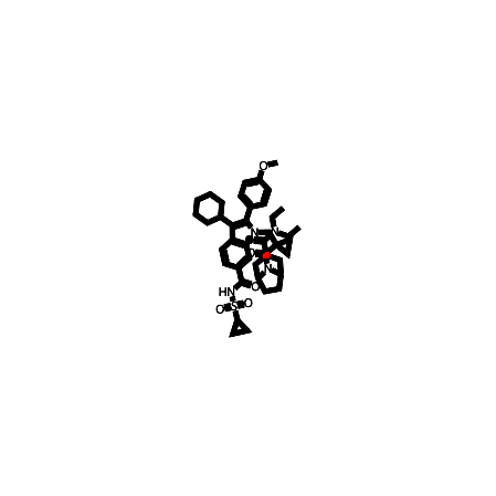 CCN(CC)C(=O)N1CC2CCC(C1)N2C(=O)C1(Cn2c(-c3ccc(OC)cc3)c(C3CCCCC3)c3ccc(C(=O)NS(=O)(=O)C4CC4)cc32)CC1